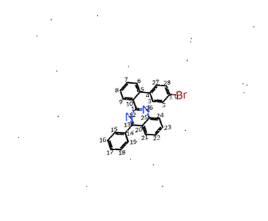 Brc1ccc(-c2ccccc2-c2nc(-c3ccccc3)c3ccccc3n2)cc1